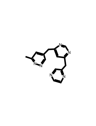 Cc1cc(Cc2cc(Cc3cnccn3)ncn2)cnn1